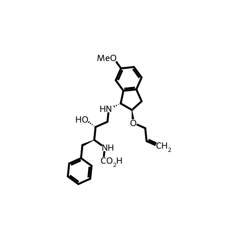 C=CCO[C@@H]1Cc2ccc(OC)cc2[C@H]1NC[C@@H](O)[C@H](Cc1ccccc1)NC(=O)O